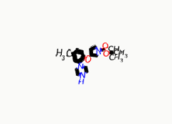 Cc1ccc(O[C@H]2CCN(C(=O)OC(C)(C)C)C2)c(N2CCNCC2)c1